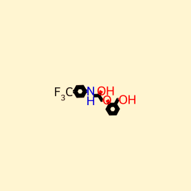 OCc1ccccc1OCC(O)CNc1ccc(C(F)(F)F)cc1